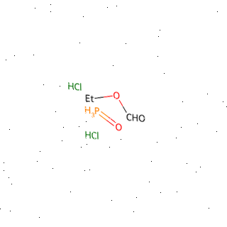 CCOC=O.Cl.Cl.O=[PH3]